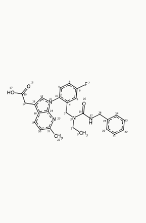 CCN(Cc1cc(F)ccc1-n1cc(CC(=O)O)c2ccc(C)nc21)C(=O)NCc1ccccc1